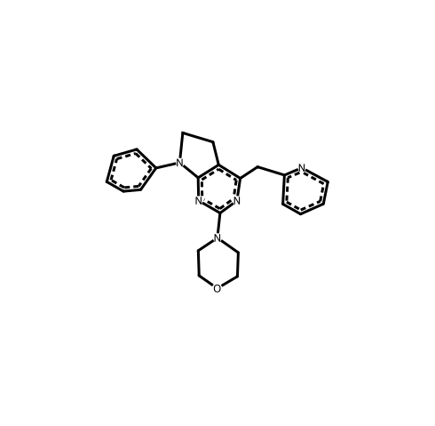 c1ccc(N2CCc3c(Cc4ccccn4)nc(N4CCOCC4)nc32)cc1